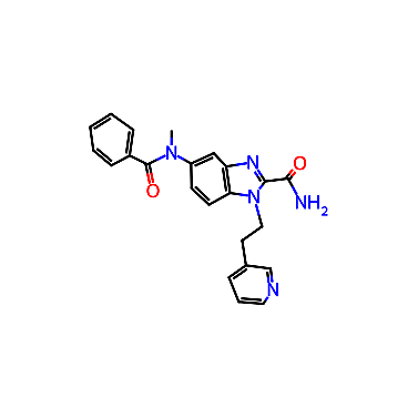 CN(C(=O)c1ccccc1)c1ccc2c(c1)nc(C(N)=O)n2CCc1cccnc1